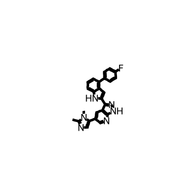 Cc1ncc(-c2cnc3[nH]nc(-c4cc5c(-c6ccc(F)cc6)cccc5[nH]4)c3c2)n1C